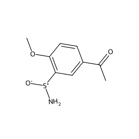 COc1ccc(C(C)=O)cc1[S+](N)[O-]